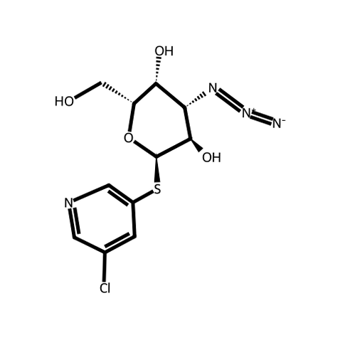 [N-]=[N+]=N[C@@H]1[C@@H](O)[C@@H](Sc2cncc(Cl)c2)O[C@H](CO)[C@@H]1O